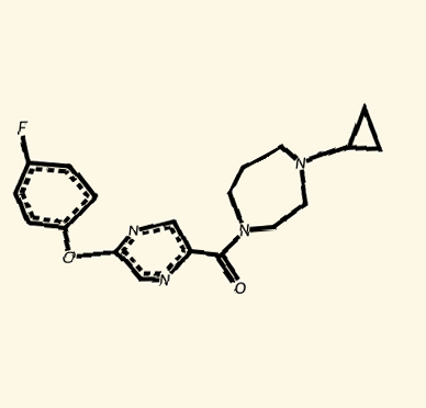 O=C(c1cnc(Oc2ccc(F)cc2)cn1)N1CCCN(C2CC2)CC1